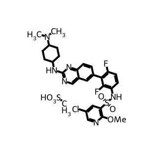 COc1ncc(Cl)cc1S(=O)(=O)Nc1ccc(F)c(-c2ccc3nc(NC4CCC(N(C)C)CC4)ncc3c2)c1F.CS(=O)(=O)O